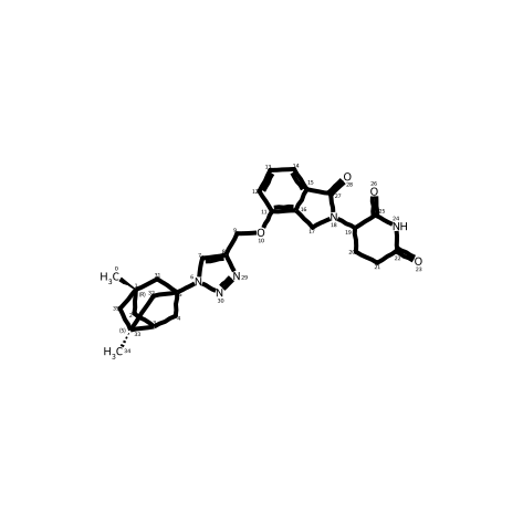 C[C@]12CC3CC(n4cc(COc5cccc6c5CN(C5CCC(=O)NC5=O)C6=O)nn4)(C1)C[C@]3(C)C2